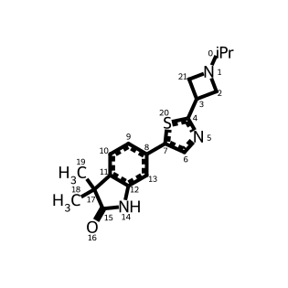 CC(C)N1CC(c2ncc(-c3ccc4c(c3)NC(=O)C4(C)C)s2)C1